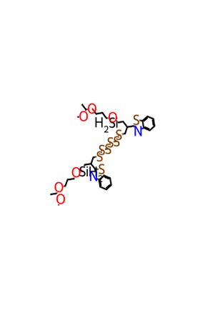 COC(C)OCCCO[SiH2]CC(CSSSSSSCC(C[SiH2]OCCCOC(C)OC)c1nc2ccccc2s1)c1nc2ccccc2s1